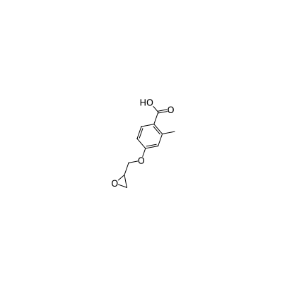 Cc1cc(OCC2CO2)ccc1C(=O)O